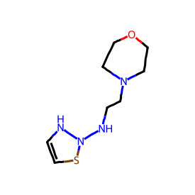 C1=CSN(NCCN2CCOCC2)N1